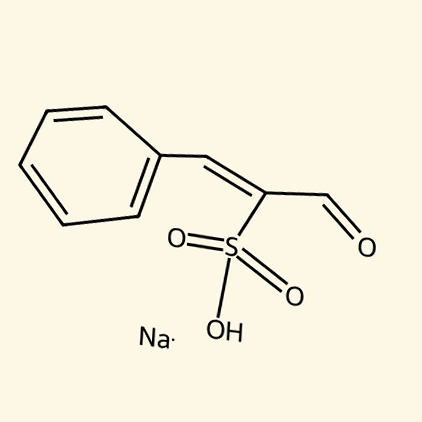 O=CC(=Cc1ccccc1)S(=O)(=O)O.[Na]